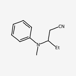 CCC(CC#N)N(C)c1ccccc1